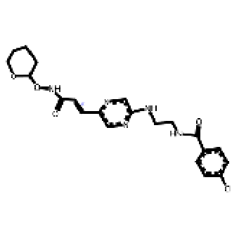 O=C(/C=C/c1cnc(NCCNC(=O)c2ccc(Cl)cc2)cn1)NOC1CCCCO1